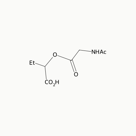 CCC(OC(=O)CNC(C)=O)C(=O)O